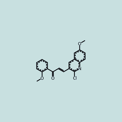 COc1ccc2nc(Cl)c(C=CC(=O)c3ccccc3OC)cc2c1